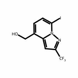 OCc1ccc(I)n2nc(C(F)(F)F)cc12